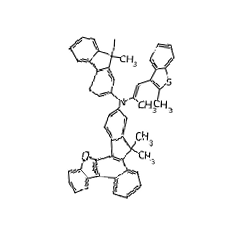 C/C(=C\c1c(C)sc2ccccc12)N(C1=CCC2C(=C1)C(C)(I)c1ccccc12)c1ccc2c(c1)C(C)(C)c1c-2c2oc3ccccc3c2c2ccccc12